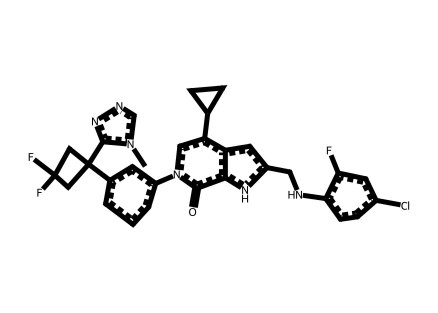 Cn1cnnc1C1(c2cccc(-n3cc(C4CC4)c4cc(CNc5ccc(Cl)cc5F)[nH]c4c3=O)c2)CC(F)(F)C1